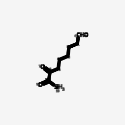 O=CCCCCCC(=O)C(=O)[SiH3]